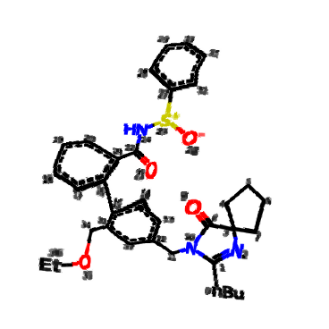 CCCCC1=NC2(CCCC2)C(=O)N1Cc1ccc(-c2ccccc2C(=O)N[S+]([O-])c2ccccc2)c(COCC)c1